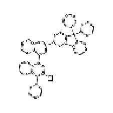 Clc1cc(-c2cc(-c3ccc4c(c3)-c3ccccc3C4(c3ccccc3)c3ccccc3)cc3ccccc23)c2ccccc2c1-c1ccccc1